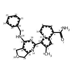 Cc1cc2c(C(N)=O)cccn2c1-c1nc2c(c(NCc3ccccc3)n1)COC2